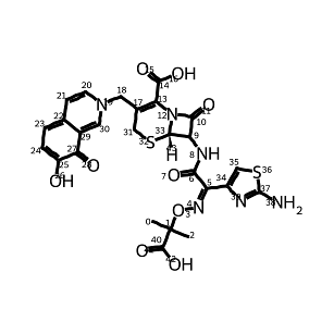 CC(C)(O/N=C(\C(=O)NC1C(=O)N2C(C(=O)O)=C(Cn3ccc4ccc(O)c(=O)c-4c3)CS[C@@H]12)c1csc(N)n1)C(=O)O